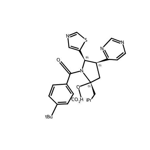 CC(C)C[C@]1(OC(=O)O)C[C@H](c2ccncn2)[C@H](c2cncs2)N1C(=O)c1ccc(C(C)(C)C)cc1